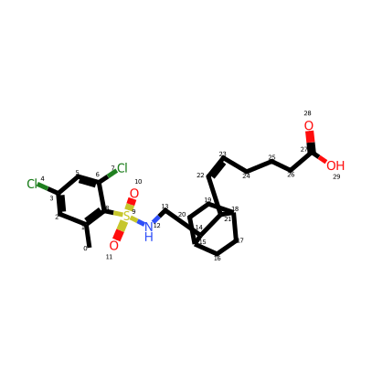 Cc1cc(Cl)cc(Cl)c1S(=O)(=O)NCC1C2CCC(CC2)C1/C=C\CCCC(=O)O